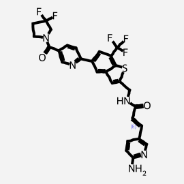 Nc1ccc(/C=C/C(=O)NCc2cc3cc(-c4ccc(C(=O)N5CCC(F)(F)C5)cn4)cc(C(F)(F)F)c3s2)cn1